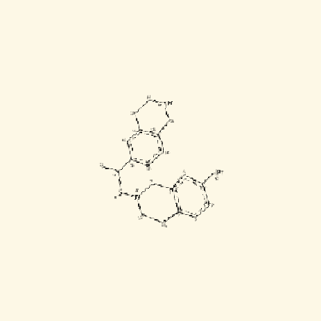 CC(C)c1ccc2c(c1)CN(SC(C)c1ccc3c(c1)CCNC3)CC2